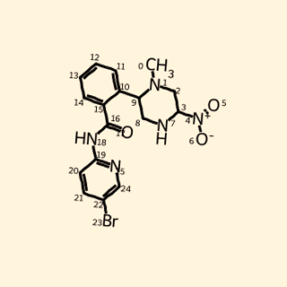 CN1CC([N+](=O)[O-])NCC1c1ccccc1C(=O)Nc1ccc(Br)cn1